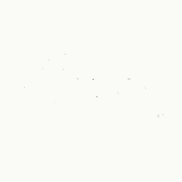 CC(C)=CC1C(C(=O)OC2CC(=O)C(C(C)C)=C2C)C1(C)C